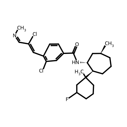 C/N=C\C(Cl)=C\c1ccc(C(=O)N[C@@H]2C[C@@H](C)CCC[C@H]2C2(C)CCCC(F)C2)cc1Cl